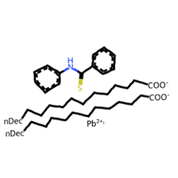 CCCCCCCCCCCCCCCCCCCCCC(=O)[O-].CCCCCCCCCCCCCCCCCCCCCC(=O)[O-].S=C(Nc1ccccc1)c1ccccc1.[Pb+2]